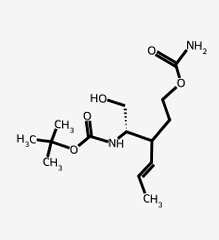 CC=CC(CCOC(N)=O)[C@@H](CO)NC(=O)OC(C)(C)C